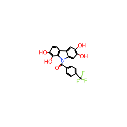 O=C(c1ccc(C(F)(F)F)cc1)n1c2cc(O)c(O)cc2c2ccc(O)c(O)c21